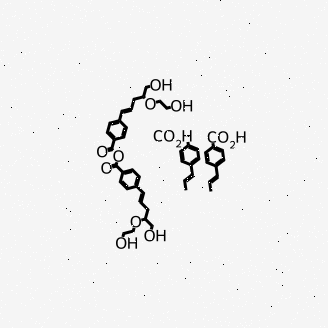 CC=Cc1ccc(C(=O)O)cc1.CC=Cc1ccc(C(=O)O)cc1.O=C(OC(=O)c1ccc(C=CCC(CO)OCCO)cc1)c1ccc(C=CCC(CO)OCCO)cc1